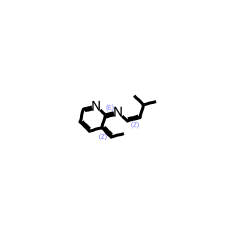 C/C=C1/C=CC=N/C1=N/C=C\C(C)C